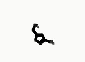 Cc1cc([CH]C(F)(F)F)sn1